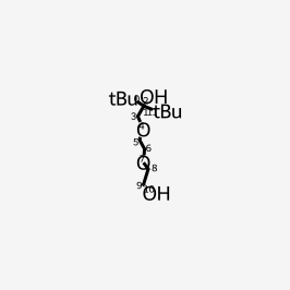 CC(C)(C)C(O)(COCCOCCO)C(C)(C)C